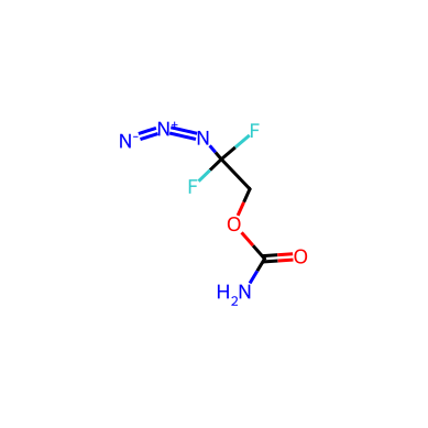 [N-]=[N+]=NC(F)(F)COC(N)=O